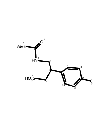 CSC(=O)NCC(CS(=O)(=O)O)c1ccc(Cl)cc1